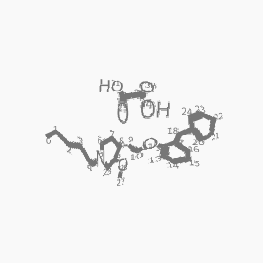 CCCCCN1CC[C@H](CCOc2ccccc2Cc2ccccc2)[C@@H](OC)C1.O=C(O)C(=O)O